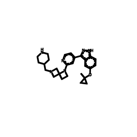 CC1(Oc2ccc3[nH]nc(-c4ccnc(N5CCC56CN(CC5CCNCC5)C6)c4)c3c2)CC1